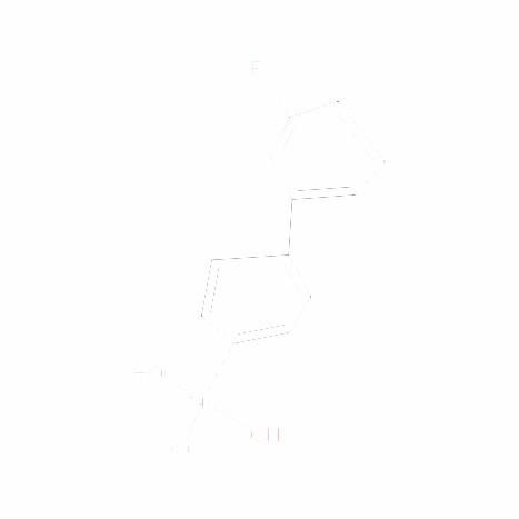 O[Si](O)(O)c1ccc(-c2cccc(F)c2)cc1